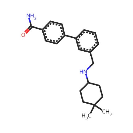 CC1(C)CCC(NCc2cccc(-c3ccc(C(N)=O)cc3)c2)CC1